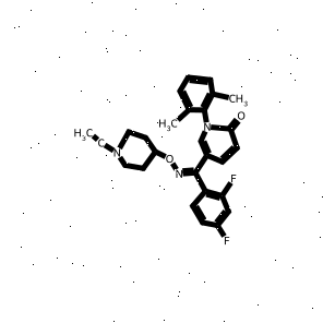 CCN1CCC(O/N=C(\c2ccc(=O)n(-c3c(C)cccc3C)c2)c2ccc(F)cc2F)CC1